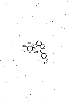 CCOc1ccc(Cn2nnc3cccc(O[C@]4(O)[C@H](O)O[C@H](CO)[C@@H](O)[C@@H]4O)c32)cc1